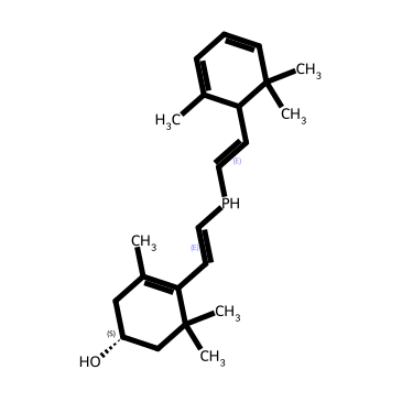 CC1=CC=CC(C)(C)C1/C=C/P/C=C/C1=C(C)C[C@@H](O)CC1(C)C